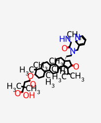 CNCC(=O)N(CC[C@@]12CC[C@]3(C)[C@H](CCC4[C@@]5(C)CC[C@H](OC(=O)CC(C)(C)C(=O)O)C(C)(C)C5CC[C@]43C)C1=C(C(C)C)C(=O)C2)Cc1cccnc1